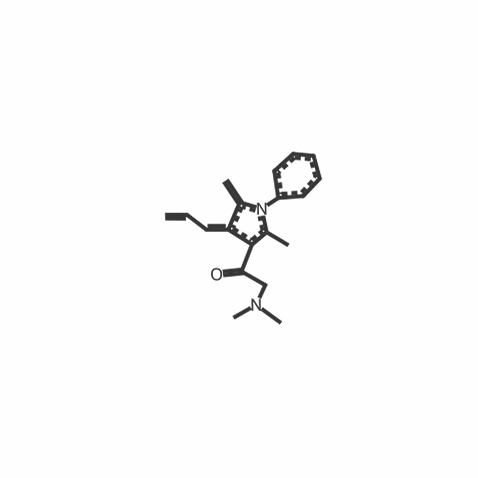 C=C/C=c1/c(C(=O)CN(C)C)c(C)n(-c2ccccc2)c1=C